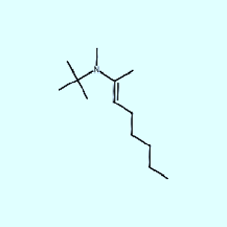 CCCCC/C=C(\C)N(C)C(C)(C)C